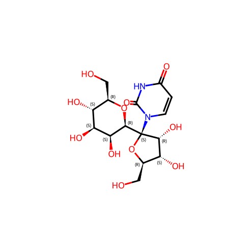 O=c1ccn([C@]2([C@@H]3O[C@H](CO)[C@@H](O)[C@H](O)[C@@H]3O)O[C@H](CO)[C@@H](O)[C@H]2O)c(=O)[nH]1